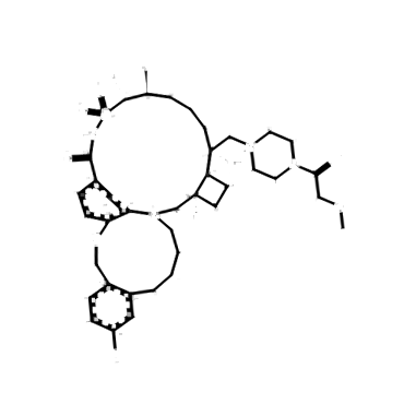 COCC(=O)N1CCN(C[C@]2(O)CCC[C@H](C)[C@@H](C)S(=O)(=O)NC(=O)c3ccc4c(c3)N(CCCCc3cc(Cl)ccc3CO4)C[C@@H]3CCC32)CC1